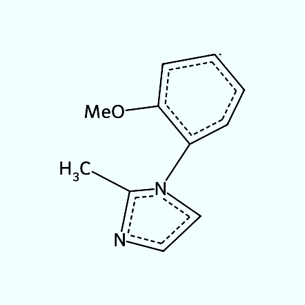 COc1c[c]ccc1-n1ccnc1C